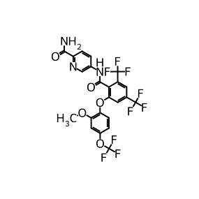 COc1cc(OC(F)(F)F)ccc1Oc1cc(C(F)(F)F)cc(C(F)(F)F)c1C(=O)Nc1ccc(C(N)=O)nc1